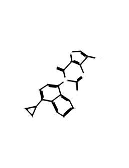 CSc1csc2c(=O)n(-c3ccc(C4CC4)c4ccccc34)c(S)nc12